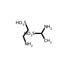 CC(N)S(=O)(=O)O.NCCS(=O)(=O)O